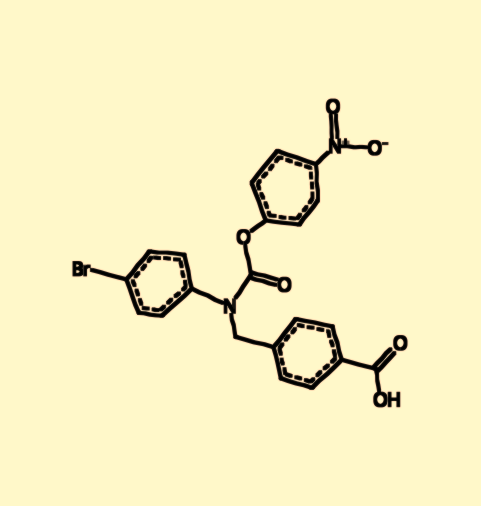 O=C(O)c1ccc(CN(C(=O)Oc2ccc([N+](=O)[O-])cc2)c2ccc(Br)cc2)cc1